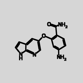 NC(=O)c1ccc(N)cc1Oc1cnc2[nH]ccc2c1